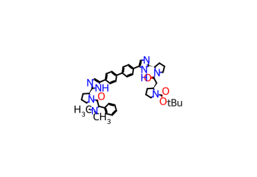 CN(C)[C@@H](C(=O)N1CCC[C@H]1c1ncc(-c2ccc(-c3ccc(-c4cnc([C@@H]5CCCN5C(=O)C[C@@H]5CCCN5C(=O)OC(C)(C)C)[nH]4)cc3)cc2)[nH]1)c1ccccc1